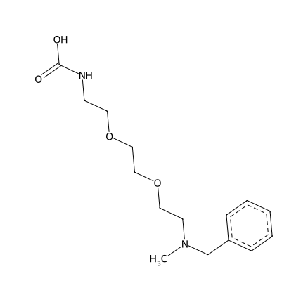 CN(CCOCCOCCNC(=O)O)Cc1ccccc1